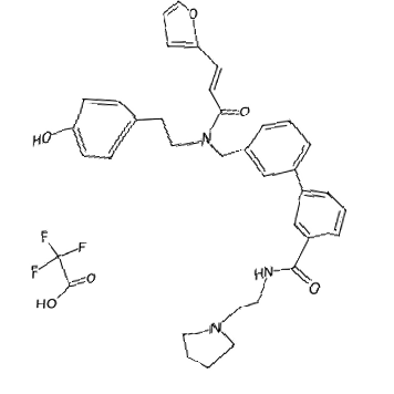 O=C(NCCN1CCCC1)c1cccc(-c2cccc(CN(CCc3ccc(O)cc3)C(=O)C=Cc3ccco3)c2)c1.O=C(O)C(F)(F)F